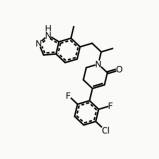 Cc1c(CC(C)N2CCC(c3c(F)ccc(Cl)c3F)=CC2=O)ccc2cn[nH]c12